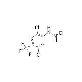 FC(F)(F)c1cc(Cl)c(NNCl)cc1Cl